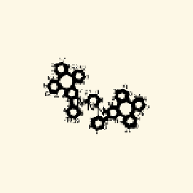 c1cc(-n2c3ccccc3c3cc4c(cc32)-c2ccccc2-c2ccccc2-c2ccccc2-4)nc(-n2c3ccccc3c3cc4c(cc32)-c2ccccc2-c2ccccc2-c2ccccc2-4)c1